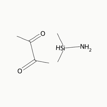 CC(=O)C(C)=O.C[SiH](C)N